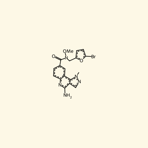 CON(Cc1ccc(Br)o1)C(=O)c1ccc2nc(N)c3cnn(C)c3c2c1